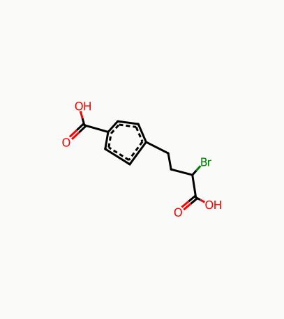 O=C(O)c1ccc(CCC(Br)C(=O)O)cc1